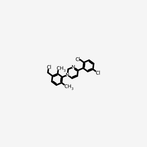 Cc1ccc(CCl)c(C)c1N1C=CC(c2cc(Cl)ccc2Cl)=NC1